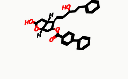 O=C(O[C@@H]1C[C@@H]2OC(O)C[C@@H]2[C@H]1C=C[C@@H](O)CCc1ccccc1)c1ccc(-c2ccccc2)cc1